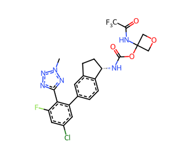 Cn1nnc(-c2c(F)cc(Cl)cc2-c2ccc3c(c2)CC[C@@H]3NC(=O)OC2(NC(=O)C(F)(F)F)COC2)n1